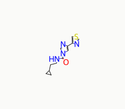 O=C(NCCC1CC1)n1cnc(-c2cscn2)c1